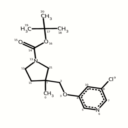 CC1(COc2cncc(Cl)c2)CCN(C(=O)OC(C)(C)C)C1